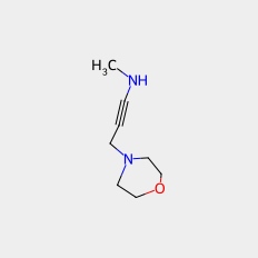 CNC#CCN1CCOCC1